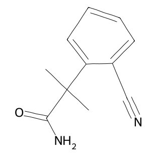 CC(C)(C(N)=O)c1ccccc1C#N